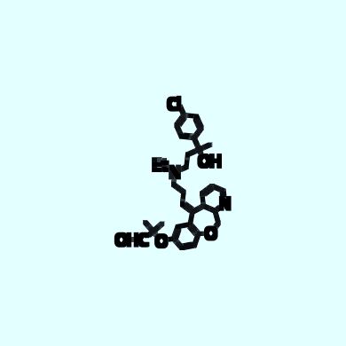 CCN(CC/C=C1/c2cc(OC(C)(C)C=O)ccc2OCC2N=CC=CC12)CCC(C)(O)c1ccc(Cl)cc1